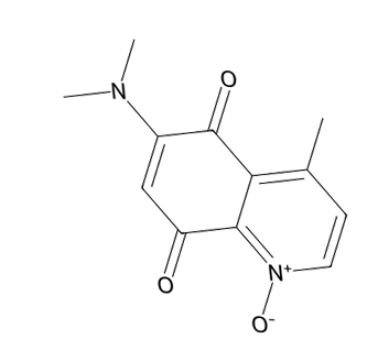 Cc1cc[n+]([O-])c2c1C(=O)C(N(C)C)=CC2=O